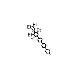 CCc1cc(-c2ccc(-c3ccc(C4CCC(C)CC4)cc3)cc2)c(CC)c(CC)c1OCC(CC)CC